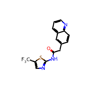 O=C(Cc1ccc2ncccc2c1)Nc1ncc(C(F)(F)F)s1